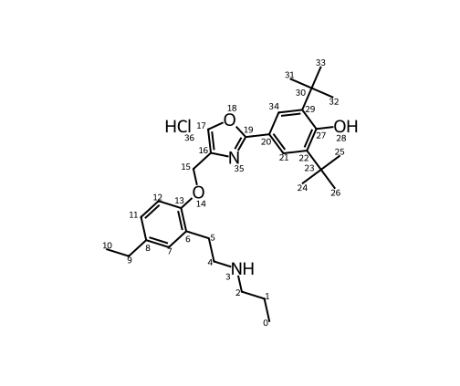 CCCNCCc1cc(CC)ccc1OCc1coc(-c2cc(C(C)(C)C)c(O)c(C(C)(C)C)c2)n1.Cl